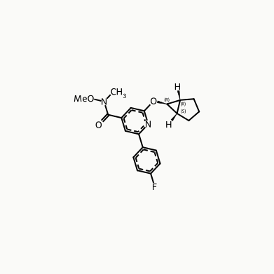 CON(C)C(=O)c1cc(O[C@H]2[C@@H]3CCC[C@@H]32)nc(-c2ccc(F)cc2)c1